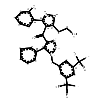 O=C(c1nnn(Cc2cc(C(F)(F)F)cc(C(F)(F)F)c2)c1-c1ccccc1)c1c(CCO)noc1-c1ccccc1Cl